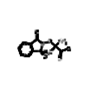 CC(C)(ON1C(=O)c2ccccc2C1=O)C(=O)Cl